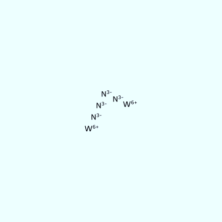 [N-3].[N-3].[N-3].[N-3].[W+6].[W+6]